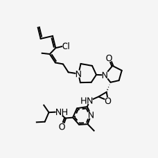 C=C/C=C(Cl)\C(C)=C/CCN1CCC(N2C(=O)CC[C@@H]2C2OC2Nc2cc(C(=O)NC(C)CC)cc(C)n2)CC1